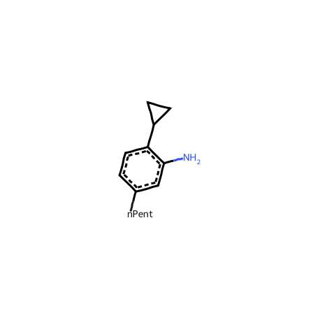 CCCCCc1ccc(C2CC2)c(N)c1